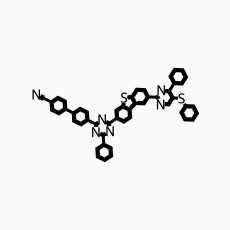 N#Cc1ccc(-c2ccc(-c3nc(-c4ccccc4)nc(-c4ccc5c(c4)sc4ccc(-c6ncc(Sc7ccccc7)c(-c7ccccc7)n6)cc45)n3)cc2)cc1